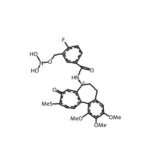 COc1cc2c(c(OC)c1OC)-c1ccc(SC)c(=O)cc1[C@@H](NC(=O)c1ccc(F)c(CON(O)O)c1)CC2